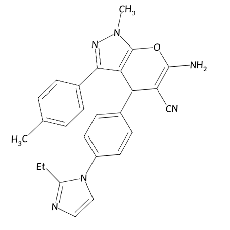 CCc1nccn1-c1ccc(C2C(C#N)=C(N)Oc3c2c(-c2ccc(C)cc2)nn3C)cc1